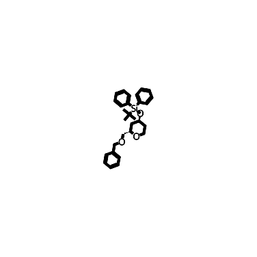 CC(C)(C)[Si](O[C@H]1CCO[C@H](COCc2ccccc2)C1)(c1ccccc1)c1ccccc1